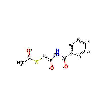 CC(=O)SCC(=O)NC(=O)c1ccccc1